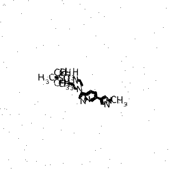 Cn1cc(-c2ccc3c(N4CCNC(CO[Si](C)(C)C(C)(C)C)C4)cnn3c2)cn1